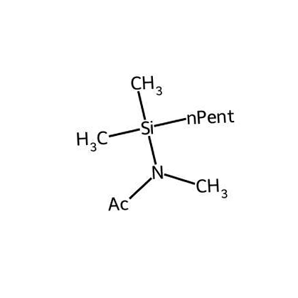 CCCCC[Si](C)(C)N(C)C(C)=O